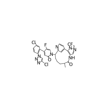 CC1CCCC(n2cc(F)c(-c3cc(Cl)ccc3-n3cc(Cl)nn3)cc2=O)c2cc(ccn2)-c2c(cnn2C(F)(F)F)NC1=O